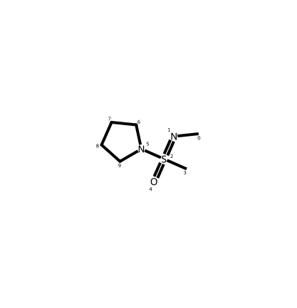 CN=S(C)(=O)N1CCCC1